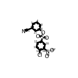 N#Cc1cccc(OS(=O)(=O)c2ccc(Cl)c([N+](=O)[O-])c2)c1